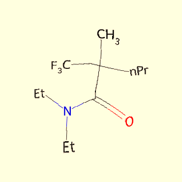 CCCC(C)(C(=O)N(CC)CC)C(F)(F)F